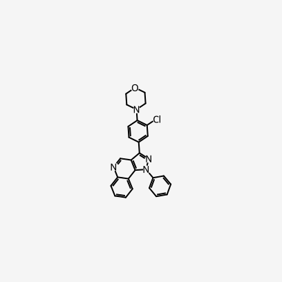 Clc1cc(-c2nn(-c3ccccc3)c3c2cnc2ccccc23)ccc1N1CCOCC1